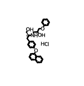 Cl.OC[C@H](Cc1ccc(Oc2cccc3ccccc23)cc1)NC[C@H](O)COc1ccccc1